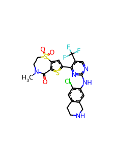 CN1CCS(=O)(=O)c2cc(-c3nc(Nc4cc5c(cc4Cl)CCNC5)ncc3C(F)(F)F)sc2C1=O